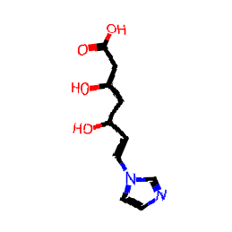 O=C(O)CC(O)CC(O)/C=C/n1ccnc1